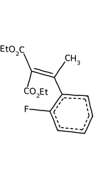 CCOC(=O)C(C(=O)OCC)=C(C)c1ccccc1F